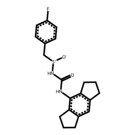 O=C(Nc1c2c(cc3c1CCC3)CCC2)N[S+]([O-])Cc1ccc(F)cc1